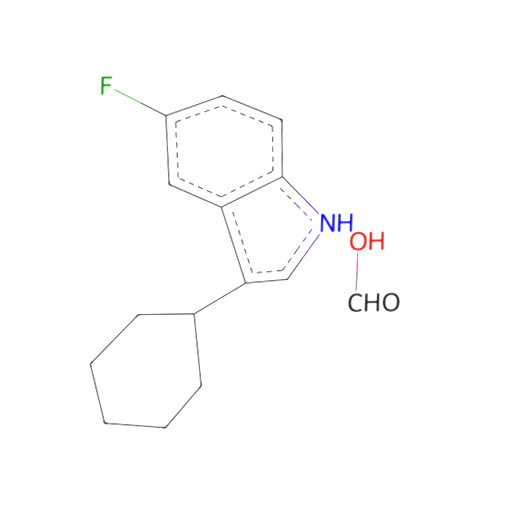 Fc1ccc2[nH]cc(C3CCCCC3)c2c1.O=CO